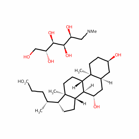 CNC[C@H](O)[C@@H](O)[C@H](O)[C@H](O)CO.C[C@H](CCC(=O)O)[C@H]1CC[C@H]2[C@@H]3[C@@H](O)C[C@@H]4C[C@H](O)CC[C@]4(C)[C@H]3CC[C@]12C